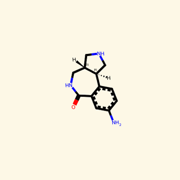 Nc1ccc2c(c1)C(=O)NC[C@@H]1CNC[C@@H]21